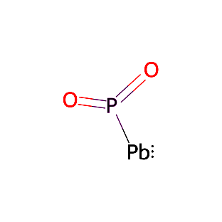 O=[P](=O)[Pb]